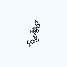 O=C(Nc1cccc2cnccc12)NC1C2CN(C(=O)c3ccc(C(F)(F)F)cc3)CC21